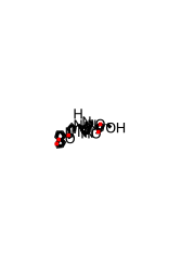 O=C(c1cccc2ccccc12)N1CC[C@@H](Nc2ncnc3c2ncn3[C@@H]2O[C@H](CO)C[C@H]2O)C1